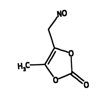 Cc1oc(=O)oc1CN=O